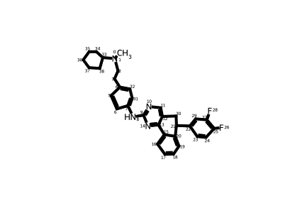 CN(CCc1ccc(Nc2ncc3c(n2)-c2ccccc2C(c2ccc(F)c(F)c2)C3)cc1)C1CCCCC1